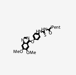 CCCC(C)C(=O)NC(=S)Nc1ccc(Oc2ncnc3cc(OC)c(OC)cc23)cc1